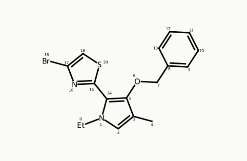 CCn1cc(C)c(OCc2ccccc2)c1-c1nc(Br)cs1